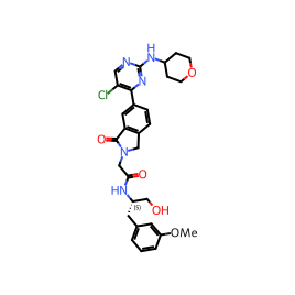 COc1cccc(C[C@@H](CO)NC(=O)CN2Cc3ccc(-c4nc(NC5CCOCC5)ncc4Cl)cc3C2=O)c1